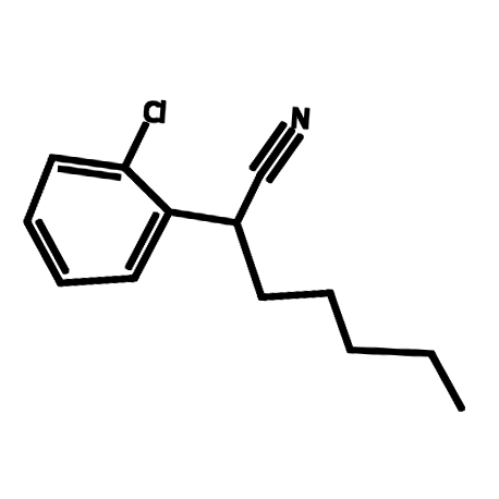 CCCCCC(C#N)c1ccccc1Cl